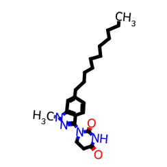 CCCCCCCCCCCc1ccc2c(N3CCC(=O)NC3=O)nn(C)c2c1